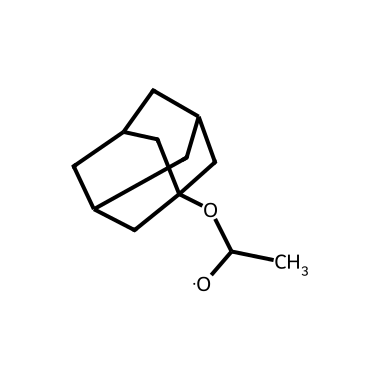 CC([O])OC12CC3CC(CC(C3)C1)C2